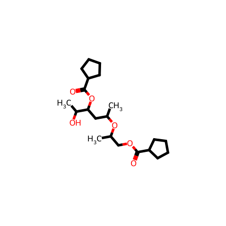 CC(COC(=O)C1CCCC1)OC(C)CC(OC(=O)C1CCCC1)C(C)O